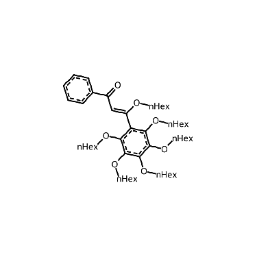 CCCCCCOC(=CC(=O)c1ccccc1)c1c(OCCCCCC)c(OCCCCCC)c(OCCCCCC)c(OCCCCCC)c1OCCCCCC